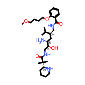 COCCCCOc1ccccc1C(=O)NC[C@@H](C[C@H](N)[C@@H](O)CNC(=O)C(C)(C)[C@H]1CCCCN1)C(C)C